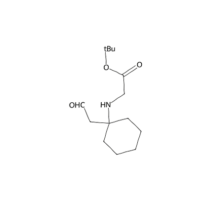 CC(C)(C)OC(=O)CNC1(CC=O)CCCCC1